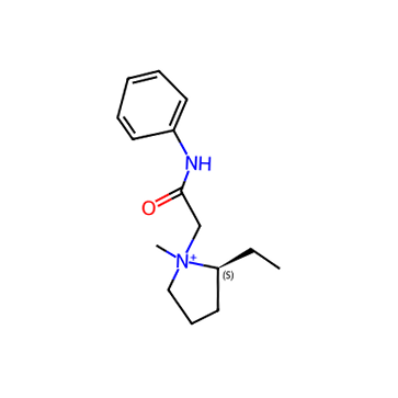 CC[C@H]1CCC[N+]1(C)CC(=O)Nc1ccccc1